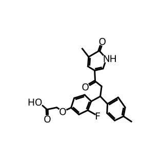 Cc1ccc(C(CC(=O)c2c[nH]c(=O)c(C)c2)c2ccc(OCC(=O)O)cc2F)cc1